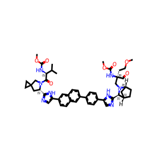 COCC[C@](C=O)(CN1[C@@H]2CC[C@@H](C2)[C@H]1c1ncc(-c2ccc(-c3ccc4cc(-c5cnc([C@@H]6CC7(CC7)CN6C(=O)[C@@H](NC(=O)OC)C(C)C)[nH]5)ccc4c3)cc2)[nH]1)NC(=O)OC